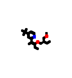 CC/C(OC[C@H](CC)COC)=C(\C)c1cc(C(C)(C)C)ccn1